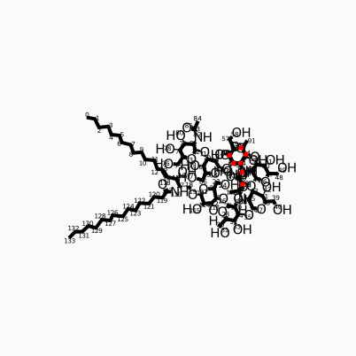 CCCCCCCCCCCCC/C=C/[C@@H](O)[C@H](CO[C@@H]1OC(CO)[C@@H](O[C@@H]2OC(CO)[C@H](O)[C@H](O[C@@H]3OC(CO)[C@@H](O)[C@H](O[C@@H]4OC(CO)[C@H](O)[C@H](O[C@@H]5OC(CO)[C@@H](O)[C@H](O[C@@H]6OC(CO)[C@H](O)[C@H](O[C@H]7OC(CO)[C@H](O)[C@H](O)C7NC(C)=O)C6O[C@H]6OC(C)[C@@H](O)C(O)[C@@H]6O)C5NC(C)=O)C4O)C3NC(C)=O)C2O)[C@H](O)C1O)NC(=O)CCCCCCCCCCCCCCC